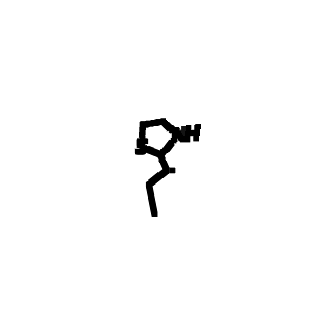 CC[CH]C1NCCS1